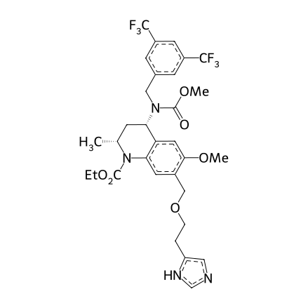 CCOC(=O)N1c2cc(COCCc3cnc[nH]3)c(OC)cc2[C@@H](N(Cc2cc(C(F)(F)F)cc(C(F)(F)F)c2)C(=O)OC)C[C@H]1C